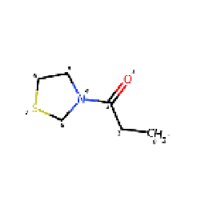 [CH2]CC(=O)N1CCSC1